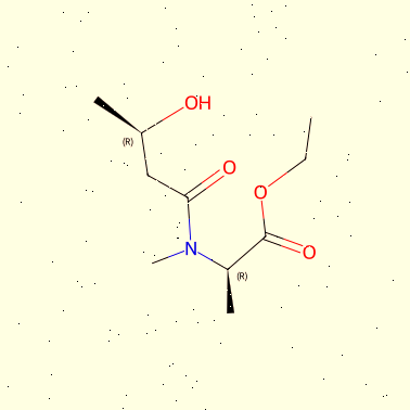 CCOC(=O)[C@@H](C)N(C)C(=O)C[C@@H](C)O